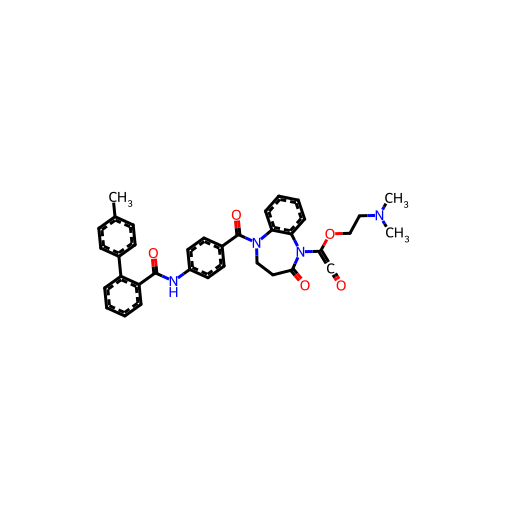 Cc1ccc(-c2ccccc2C(=O)Nc2ccc(C(=O)N3CCC(=O)N(C(=C=O)OCCN(C)C)c4ccccc43)cc2)cc1